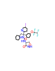 O=C(N[C@@H]1CONC1=O)N[C@@](Cc1ccccc1)(c1cccc(OC(F)(F)C(F)F)c1)c1ccc(I)cn1